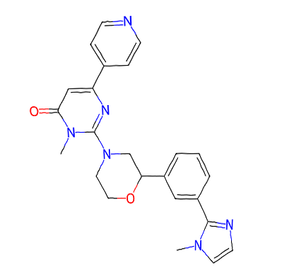 Cn1ccnc1-c1cccc(C2CN(c3nc(-c4ccncc4)cc(=O)n3C)CCO2)c1